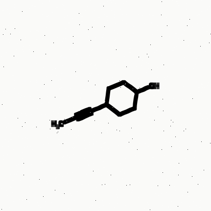 CC#CC1CCC(O)CC1